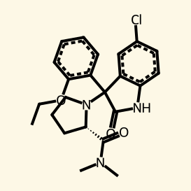 CCOc1ccccc1C1(N2CCC[C@H]2C(=O)N(C)C)C(=O)Nc2ccc(Cl)cc21